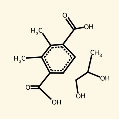 CC(O)CO.Cc1c(C(=O)O)ccc(C(=O)O)c1C